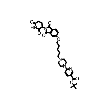 CC(C)(C)OC(=O)c1ccc(N2CCN(CCCCCOc3ccc4c(c3)C(=O)N(C3CCC(=O)NC3=O)C4=O)CC2)nc1